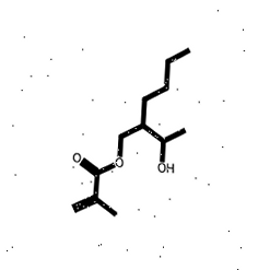 C=C(C)C(=O)OCC(CCCC)C(C)O